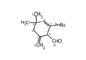 C=C1CC(C)(C)C=C(CCCC)C1C=O